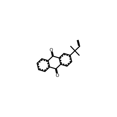 C=CC(C)(C)c1ccc2c(c1)C(=O)c1ccccc1C2=O